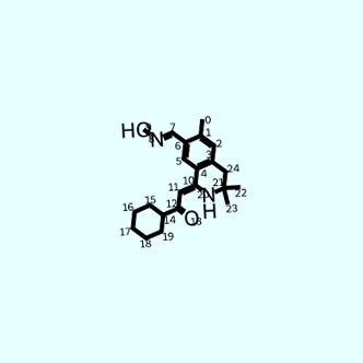 Cc1cc2c(cc1C=NO)C(=CC(=O)C1CCCCC1)NC(C)(C)C2